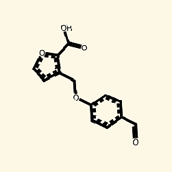 O=Cc1ccc(OCc2ccoc2C(=O)O)cc1